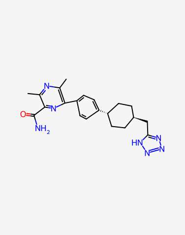 Cc1nc(C)c(-c2ccc([C@H]3CC[C@H](Cc4nnn[nH]4)CC3)cc2)nc1C(N)=O